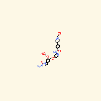 NC(=O)n1ccc2cc(COc3ccnc(NC(=O)c4ccc(C5CCN(CCO)CC5)cc4)c3)c(OCCO)cc21